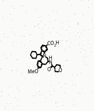 COc1ccc2c(c1)CC(NC(=O)C1CCOCC1)Cn1c-2c(C2CCCCC2)c2ccc(C(=O)O)cc21